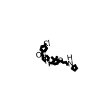 Cc1c(OCCCNC2CCCC2)ccc([C@@H](C)N2CCN(C(=O)c3ccc(Cl)cc3)CC2)c1C